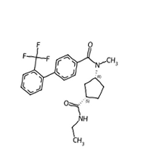 CCNC(=O)[C@H]1CC[C@@H](N(C)C(=O)c2ccc(-c3ccccc3C(F)(F)F)cc2)C1